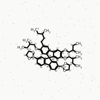 CCC(C)CCc1cc2c(cc1OCC(C)CC)C1(c3cc(B4OCCO4)ccc3-c3ccc(B4OCCO4)cc31)c1cc(OCC(C)CC)c(OCC(C)CC)cc1-2